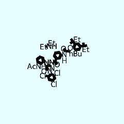 CCCCC(Oc1ccc(C(C)(C)CC)cc1C(C)(C)CC)C(=O)Nc1cccc(C(=O)NC2=NN(c3c(Cl)cc(Cl)cc3Cl)C(=O)C2(NC(C)=O)Nc2ccccc2)c1.CCNCC